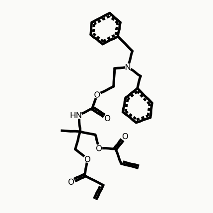 C=CC(=O)OCC(C)(COC(=O)C=C)NC(=O)OCCN(Cc1ccccc1)Cc1ccccc1